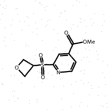 COC(=O)c1ccnc(S(=O)(=O)C2COC2)c1